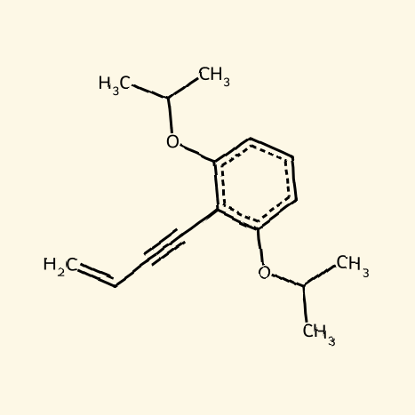 C=CC#Cc1c(OC(C)C)cccc1OC(C)C